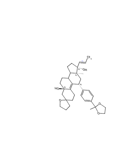 CC1(c2ccc([C@H]3C[C@@]4(C)C(CC[C@@]4(O)/C=C/C(F)(F)F)C4CC[C@@]5(O)CC6(CCCO6)CCC5=C43)cc2)OCCO1